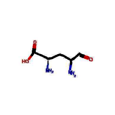 NC([C]=O)C[C@H](N)C(=O)O